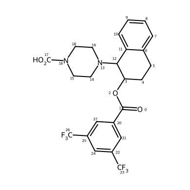 O=C(OC1CCc2ccccc2C1N1CCN(C(=O)O)CC1)c1cc(C(F)(F)F)cc(C(F)(F)F)c1